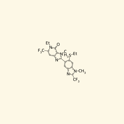 CCSc1cc2c(cc1-c1nc3cc(C(F)(F)F)n(CC)c(=O)c3n1C)nc(C(F)(F)F)n2C